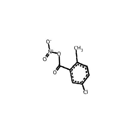 Cc1ccc(Cl)cc1C(=O)O[N+](=O)[O-]